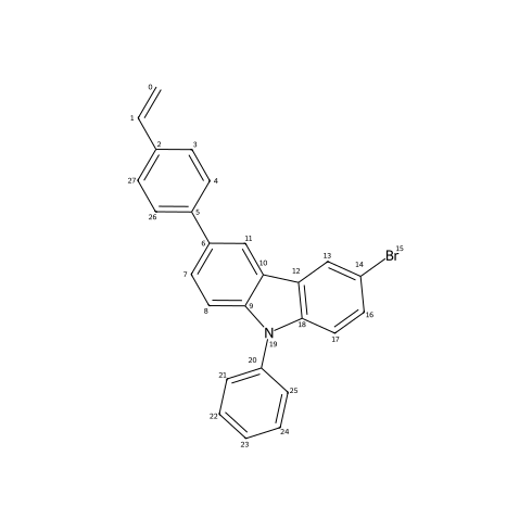 C=Cc1ccc(-c2ccc3c(c2)c2cc(Br)ccc2n3-c2ccccc2)cc1